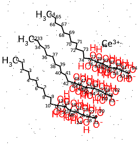 CCCCCCCCCCCC(O)(O)C(O)(O)C(O)(O)C(O)(O)C(O)(O)C(O)(O)C(=O)[O-].CCCCCCCCCCCC(O)(O)C(O)(O)C(O)(O)C(O)(O)C(O)(O)C(O)(O)C(=O)[O-].CCCCCCCCCCCC(O)(O)C(O)(O)C(O)(O)C(O)(O)C(O)(O)C(O)(O)C(=O)[O-].[Ce+3]